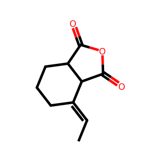 CC=C1CCCC2C(=O)OC(=O)C12